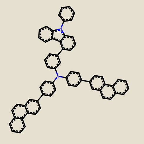 c1ccc(-n2c3ccccc3c3c(-c4cccc(N(c5ccc(-c6ccc7c(ccc8ccccc87)c6)cc5)c5ccc(-c6ccc7c(ccc8ccccc87)c6)cc5)c4)cccc32)cc1